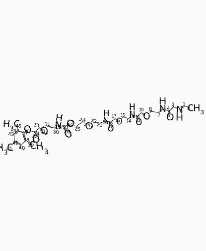 CCNCC(=O)NCCOCC(=O)NCCOCC(=O)NCCOCCOC(=O)NCCOCC(=O)Oc1c(C)cc(C)cc1C